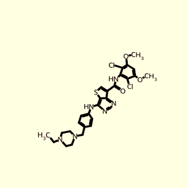 CCN1CCN(Cc2ccc(Nc3ncnc4c(C(=O)Nc5c(Cl)c(OC)cc(OC)c5Cl)csc34)cc2)CC1